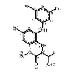 CC(C=O)N(Nc1ccc(Cl)cc1Nc1cc(F)cc(F)c1)C(=O)OC(C)(C)C